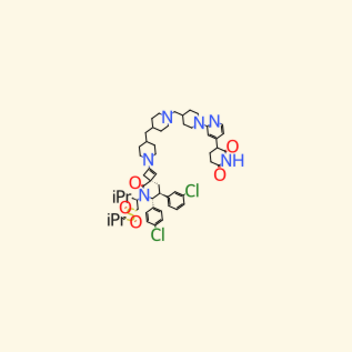 CC(C)[C@H](CS(=O)(=O)C(C)C)N1C(=O)[C@@]2(C=C(N3CCC(CC4CCN(CC5CCN(c6cc(C7CCC(=O)NC7=O)ccn6)CC5)CC4)CC3)C2)C[C@@H](c2cccc(Cl)c2)[C@@H]1c1ccc(Cl)cc1